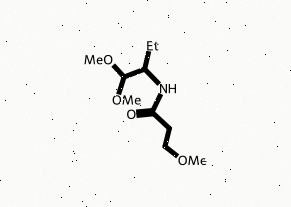 CCC(NC(=O)CCOC)C(OC)OC